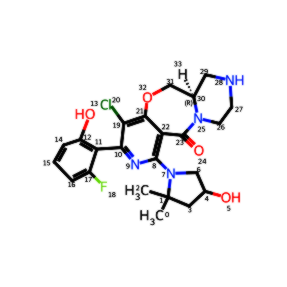 CC1(C)CC(O)CN1c1nc(-c2c(O)cccc2F)c(Cl)c2c1C(=O)N1CCNC[C@@H]1CO2